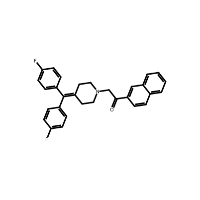 O=C(CN1CCC(=C(c2ccc(F)cc2)c2ccc(F)cc2)CC1)c1ccc2ccccc2c1